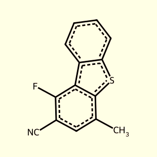 Cc1cc(C#N)c(F)c2c1sc1ccccc12